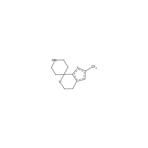 FC(F)(F)c1cc2c(s1)C1(CCNCC1)OCC2